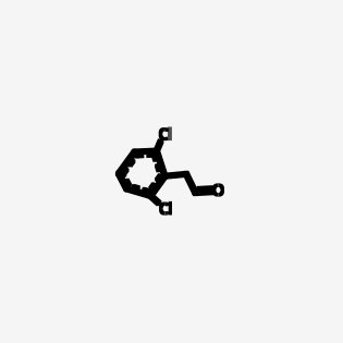 O=CCc1c(Cl)cccc1Cl